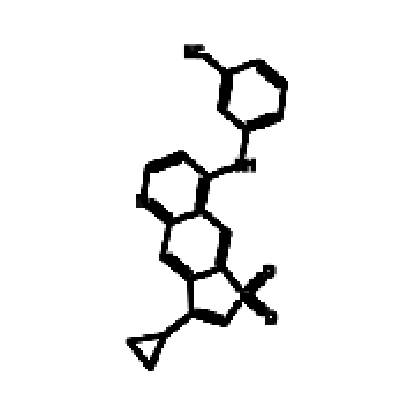 N#Cc1cccc(Nc2ccnc3cc4c(cc23)S(=O)(=O)C=C4C2CC2)c1